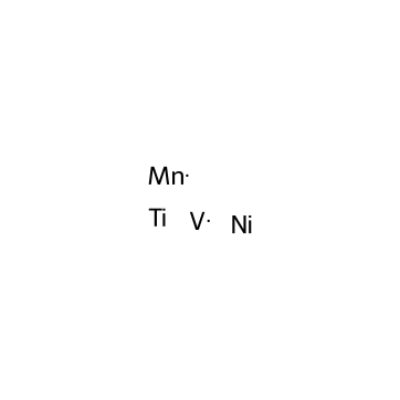 [Mn].[Ni].[Ti].[V]